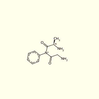 C[C@@H](N)C(=O)[N+](C(=O)CN)c1ccccc1